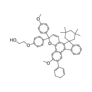 COc1ccc(C2(c3ccc(OCCO)cc3)C=Cc3c4c(c5cc(C6=CCCC=C6)c(OC)cc5c3O2)-c2ccccc2C42CC(C)(C)CC(C)(C)C2)cc1